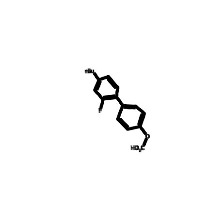 CCCCc1ccc(-c2ccc(OC(=O)O)cc2)c(F)c1